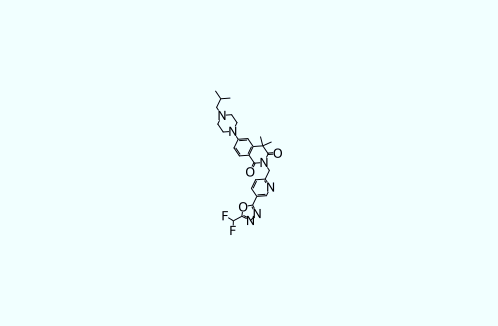 CC(C)CN1CCN(c2ccc3c(c2)C(C)(C)C(=O)N(Cc2ccc(-c4nnc(C(F)F)o4)cn2)C3=O)CC1